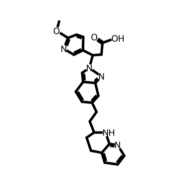 COc1ccc(C(CC(=O)O)n2cc3ccc(CCC4CCc5cccnc5N4)cc3n2)cn1